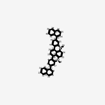 CN1C2=C(CCC(c3cccc4ccccc34)=C2)c2ccc3c4c(ccc1c24)N(C)c1cc(-c2cccc4ccccc24)ccc1-3